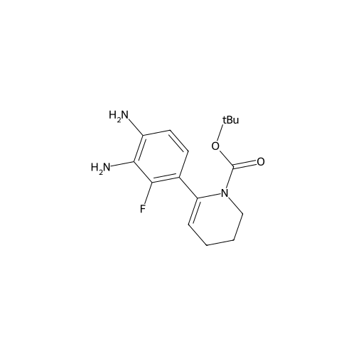 CC(C)(C)OC(=O)N1CCCC=C1c1ccc(N)c(N)c1F